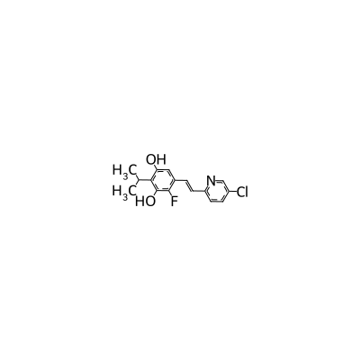 CC(C)c1c(O)cc(C=Cc2ccc(Cl)cn2)c(F)c1O